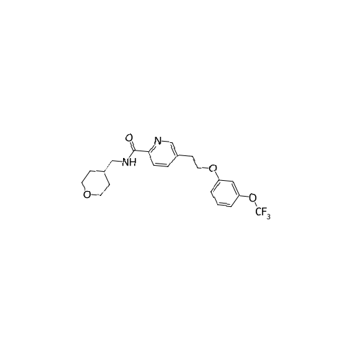 O=C(NCC1CCOCC1)c1ccc(CCOc2cccc(OC(F)(F)F)c2)cn1